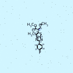 CO/C=C(\C(=O)OC)c1sc2nc(-c3ccc(F)cc3)nn2c1C